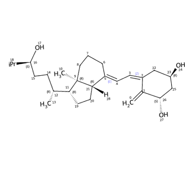 C=C1/C(=C\C=C2/CCC[C@]3(C)[C@@H]([C@H](C)CC[C@H](O)C(C)C)CC[C@@H]23)C[C@@H](O)C[C@@H]1O